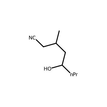 CCCC(O)CC(C)CC#N